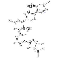 CN(C)/C=C\N(C=O)c1ccc(-c2cc(F)cc(-c3ccnc(N4CC5CCN(C)C5C4)c3)c2O)cc1Cl